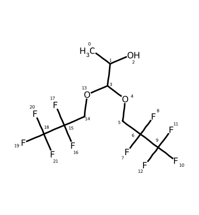 CC(O)C(OCC(F)(F)C(F)(F)F)OCC(F)(F)C(F)(F)F